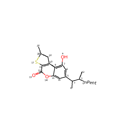 CCCCCC(C)C(C)c1cc(O)c2c3c(c(=O)oc2c1)SC(C)C3